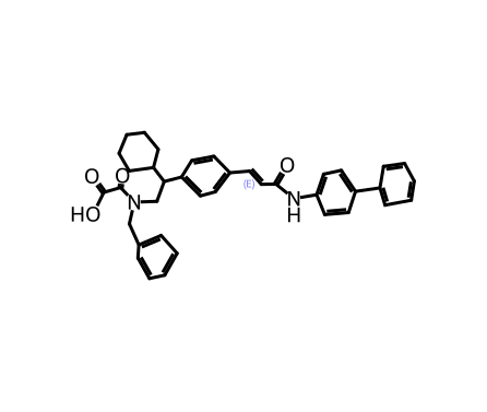 O=C(/C=C/c1ccc(C(CN(Cc2ccccc2)C(=O)C(=O)O)C2CCCCC2)cc1)Nc1ccc(-c2ccccc2)cc1